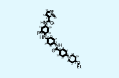 CCOC1CCN(c2ccc(C(=O)Nc3ccc(Nc4ccc(NC(=O)c5ccnn5C)cc4F)cc3)cc2)CC1